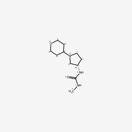 CNC(=O)N[C@H]1CCN(C2CCOCC2)C1